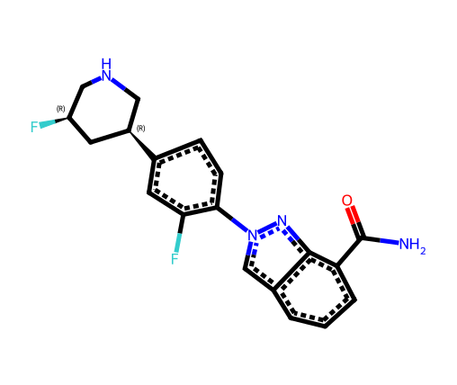 NC(=O)c1cccc2cn(-c3ccc([C@@H]4CNC[C@H](F)C4)cc3F)nc12